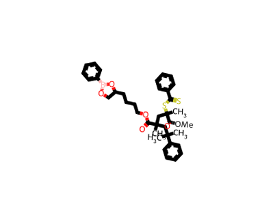 COC(=O)C(C)(CC(C)(CC(C)(C)c1ccccc1)C(=O)OCCCCC1COB(c2ccccc2)O1)SC(=S)c1ccccc1